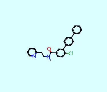 CN(CCc1ccccn1)C(=O)c1ccc(Cl)c(-c2ccc(-c3ccccc3)cc2)c1